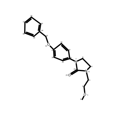 COCCN1CCN(c2ccc(OCc3ccccc3)cc2)C1=O